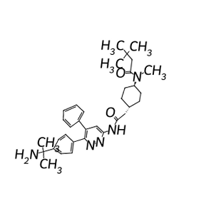 CN(C(=O)CC(C)(C)C)[C@H]1CC[C@H](CC(=O)Nc2cc(-c3ccccc3)c(-c3ccc(C(C)(C)N)cc3)nn2)CC1